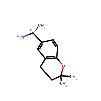 C[C@@H](N)c1ccc2c(c1)CCC(C)(C)O2